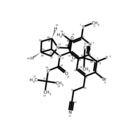 CSc1nc2c(F)c(Br)c(CCC#N)cc2c(N(C(=O)OC(C)(C)C)C2[C@@H]3C[C@H]2N(C(=O)OC(C)(C)C)C3)c1N